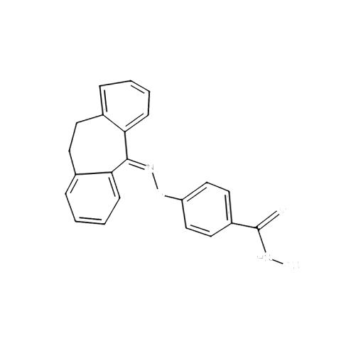 O=C(NO)c1ccc(ON=C2c3ccccc3CCc3ccccc32)cc1